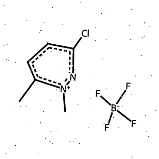 Cc1ccc(Cl)n[n+]1C.F[B-](F)(F)F